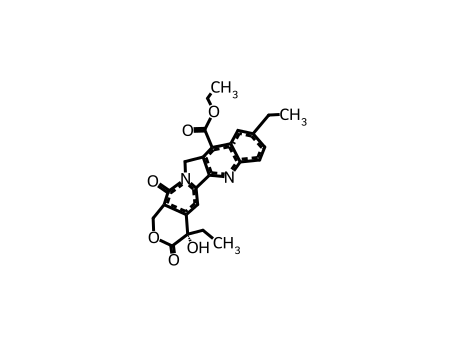 CCOC(=O)c1c2c(nc3ccc(CC)cc13)-c1cc3c(c(=O)n1C2)COC(=O)[C@]3(O)CC